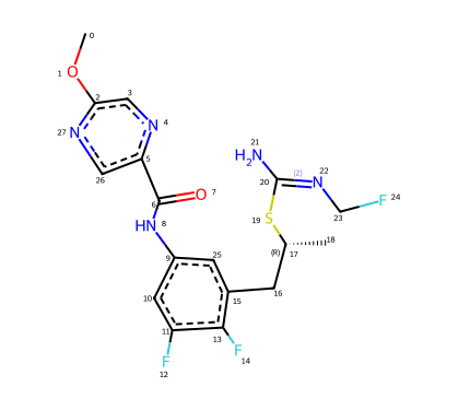 COc1cnc(C(=O)Nc2cc(F)c(F)c(C[C@@H](C)S/C(N)=N\CF)c2)cn1